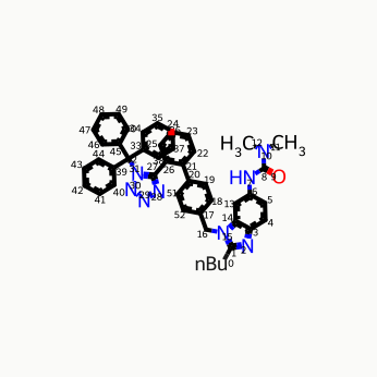 CCCCc1nc2ccc(NC(=O)N(C)C)cc2n1Cc1ccc(-c2ccccc2-c2nnnn2C(c2ccccc2)(c2ccccc2)c2ccccc2)cc1